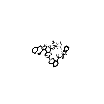 CC(C)(C)OC(=O)c1nc(N2CCc3cccc(C(=O)Nc4nc5ccccc5s4)c3C2)ccc1-c1cnn(CC2CCCCC2)c1C1CC1